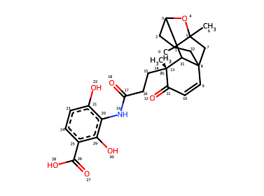 CC12CC3OC1(C)CC1(C=CC(=O)[C@](C)(CCC(=O)Nc4c(O)ccc(C(=O)O)c4O)C31)C2